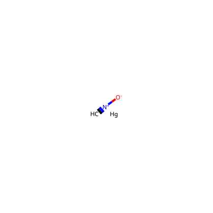 C#[N+][O-].[Hg]